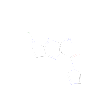 Nc1nc2c(ccn2Br)nc1C(=O)n1ccnc1